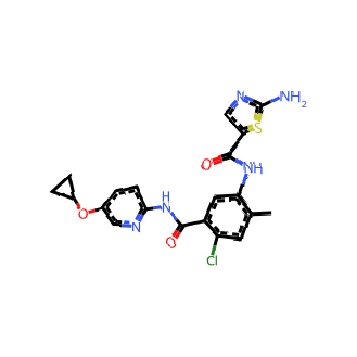 Cc1cc(Cl)c(C(=O)Nc2ccc(OC3CC3)cn2)cc1NC(=O)c1cnc(N)s1